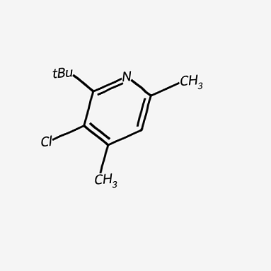 Cc1cc(C)c(Cl)c(C(C)(C)C)n1